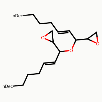 CCCCCCCCCCCCCC=CC(OC(C=CCCCCCCCCCCCCC)C1CO1)C1CO1